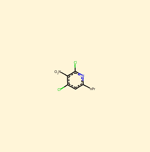 CCCc1cc(Cl)c([N+](=O)[O-])c(Cl)n1